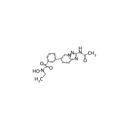 CCN(O)S(=O)(=O)c1cccc(-c2ccc3nc(NC(C)=O)nn3c2)c1